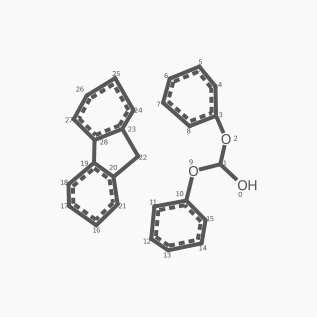 OC(Oc1ccccc1)Oc1ccccc1.c1ccc2c(c1)Cc1ccccc1-2